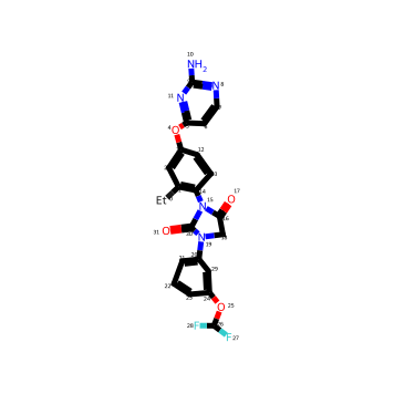 CCc1cc(Oc2ccnc(N)n2)ccc1N1C(=O)CN(c2cccc(OC(F)F)c2)C1=O